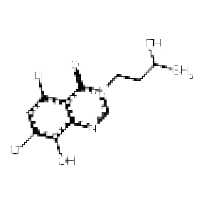 BC(C)CCn1cnc2c(O)c(Cl)cc(Cl)c2c1=O